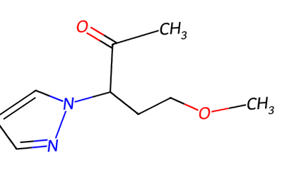 COCCC(C(C)=O)n1cccn1